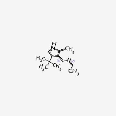 C=c1[nH]cc(C(C)(C)C)/c1=C/N=C\C